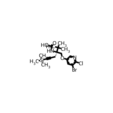 CC(C)(C)[C@@](CC#C[Si](C)(C)C)(COc1cnc(Cl)c(Br)c1)NC(=O)O